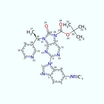 [C-]#[N+]c1ccc2ncn(-c3ncc4c(n3)n([C@H](C)c3cccnc3)c(=O)n4C(=O)OC(C)(C)C)c2c1